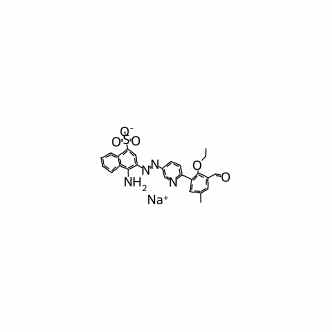 CCOc1c(C=O)cc(C)cc1-c1ccc(N=Nc2cc(S(=O)(=O)[O-])c3ccccc3c2N)cn1.[Na+]